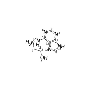 NCCO.Nc1ncnc2[nH]cnc12